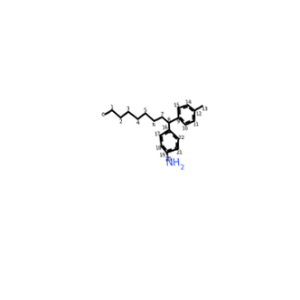 CCCCCCCCC(c1ccc(C)cc1)c1ccc(N)cc1